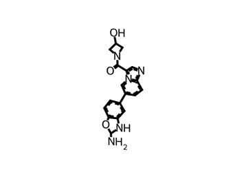 NC1Nc2cc(-c3ccc4ncc(C(=O)N5CC(O)C5)n4c3)ccc2O1